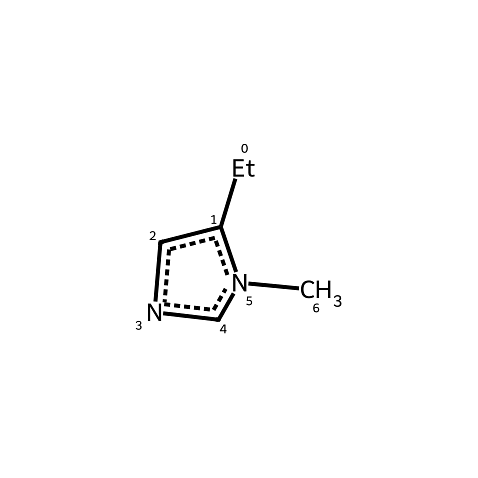 CCc1cncn1C